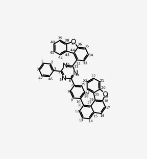 c1ccc(-c2nc(-c3ccc(-c4cccc5ccc6oc7ccccc7c6c45)cc3)nc(-c3cccc4oc5ccccc5c34)n2)cc1